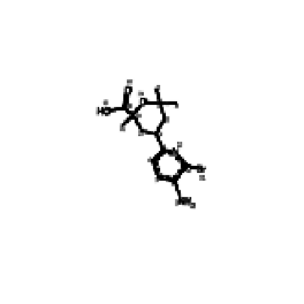 CC1(C)CC(c2ccc(N)c(Br)n2)CC(C)(C(=O)O)O1